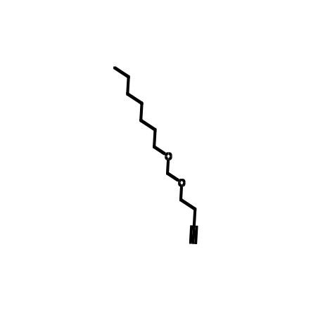 C#CCCOCOCCCCCCC